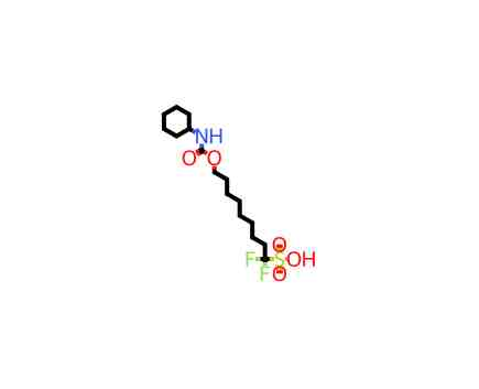 O=C(NC1CCCCC1)OCCCCCCCCC(F)(F)S(=O)(=O)O